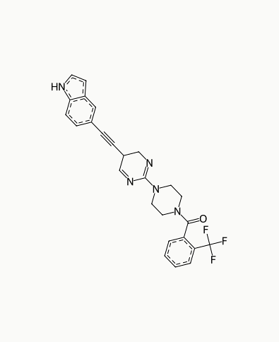 O=C(c1ccccc1C(F)(F)F)N1CCN(C2=NCC(C#Cc3ccc4[nH]ccc4c3)C=N2)CC1